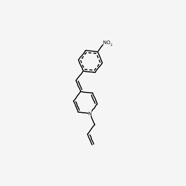 C=CCN1C=CC(=Cc2ccc([N+](=O)[O-])cc2)C=C1